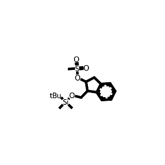 CC(C)(C)[Si](C)(C)OCC1c2ccccc2CC1OS(C)(=O)=O